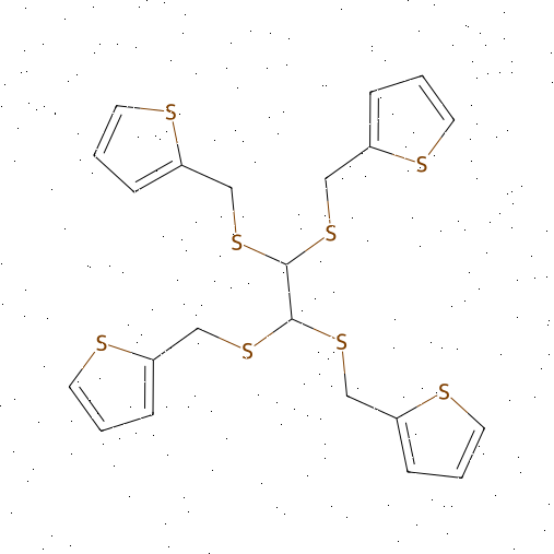 c1csc(CSC(SCc2cccs2)C(SCc2cccs2)SCc2cccs2)c1